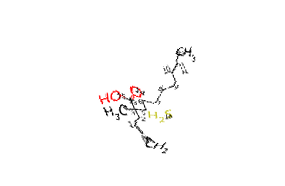 C=CCC(C)(CCCCCCCC)C(=O)O.S